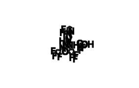 O=C(Nc1cc(F)c(F)c(F)c1)c1nc(N2CCN(c3ncccc3C(F)(F)F)CC2)[nH]c1-c1ccc(C(F)(F)F)cc1.O=C(O)C(F)(F)F